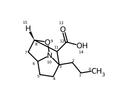 CCCC12CCC3C[C@H](ON31)C2C(=O)O